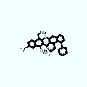 Cc1ccc2c(CC(C)(C)C)c3c(c(C)c2c1)-c1c2c(cc4cccc(-c5ccccc5)c4c2cc[n+]1C)S3